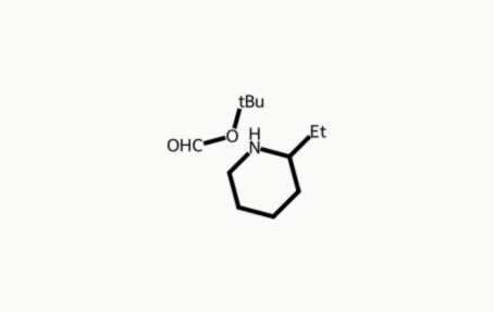 CC(C)(C)OC=O.CCC1CCCCN1